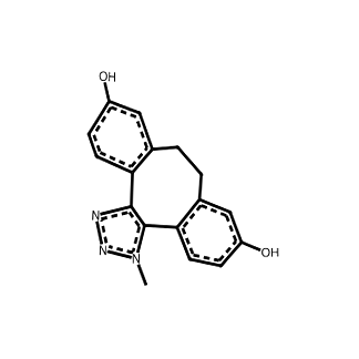 Cn1nnc2c1-c1ccc(O)cc1CCc1cc(O)ccc1-2